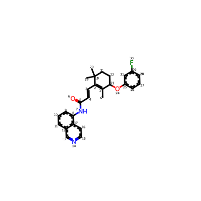 CC1=C(C=CC(=O)Nc2cccc3cnccc23)C(C)(C)CCC1Oc1cccc(F)c1